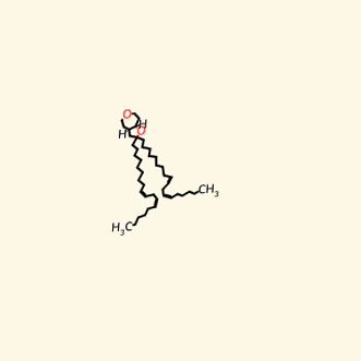 CCCCC/C=C\C/C=C\CCCCCCCCC1(CCCCCCCC/C=C\C/C=C\CCCCC)C[C@H]2CCOCC[C@@H]2O1